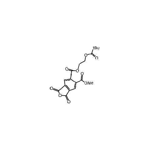 COC(=O)c1cc2c(cc1C(=O)OCCOC(=O)C(C)(C)C)C(=O)OC2=O